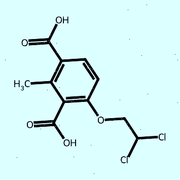 Cc1c(C(=O)O)ccc(OCC(Cl)Cl)c1C(=O)O